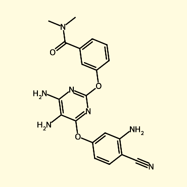 CN(C)C(=O)c1cccc(Oc2nc(N)c(N)c(Oc3ccc(C#N)c(N)c3)n2)c1